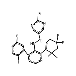 CC(C)c1ncc(C(=O)Nc2c(-c3cc(F)ccc3F)ccnc2C2=CCC(F)(F)CC2(C)C)cn1